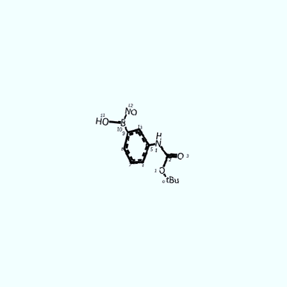 CC(C)(C)OC(=O)Nc1cccc(B(O)N=O)c1